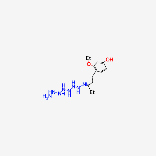 CCOc1cc(O)ccc1CCC(CC)NNNNNNNN